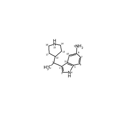 CC(c1c[nH]c2ccc(N)cc12)C1CCNCC1